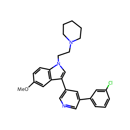 COc1ccc2c(c1)c(-c1cncc(-c3cccc(Cl)c3)c1)cn2CCN1CCCCC1